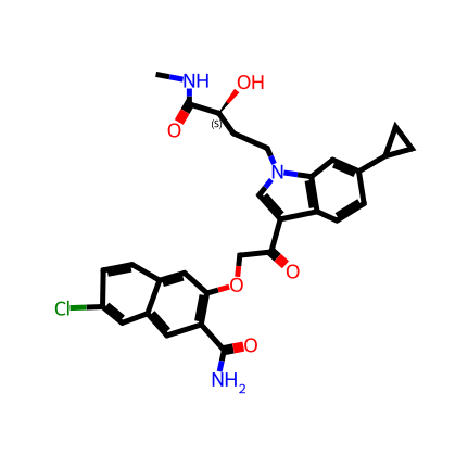 CNC(=O)[C@@H](O)CCn1cc(C(=O)COc2cc3ccc(Cl)cc3cc2C(N)=O)c2ccc(C3CC3)cc21